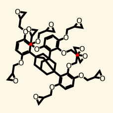 c1cc(OCC2CO2)c(C23CC4CC(c5c(OCC6CO6)ccc(OCC6CO6)c5OCC5CO5)(C2)CC(c2c(OCC5CO5)ccc(OCC5CO5)c2OCC2CO2)(C4)C3)c(OCC2CO2)c1OCC1CO1